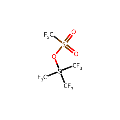 O=S(=O)(O[Si](C(F)(F)F)(C(F)(F)F)C(F)(F)F)C(F)(F)F